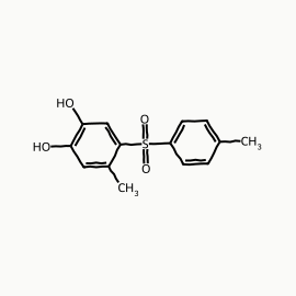 Cc1ccc(S(=O)(=O)c2cc(O)c(O)cc2C)cc1